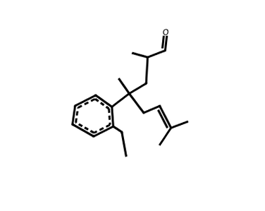 CCc1ccccc1C(C)(CC=C(C)C)CC(C)C=O